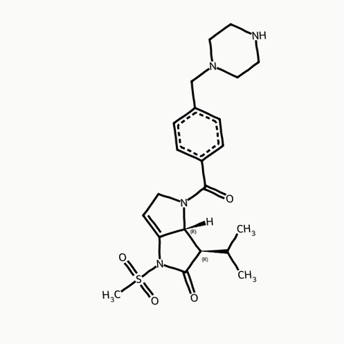 CC(C)[C@H]1C(=O)N(S(C)(=O)=O)C2=CCN(C(=O)c3ccc(CN4CCNCC4)cc3)[C@@H]21